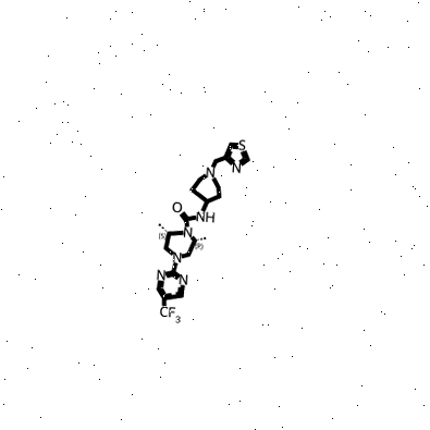 C[C@@H]1CN(c2ncc(C(F)(F)F)cn2)C[C@H](C)N1C(=O)NC1CCN(Cc2cscn2)CC1